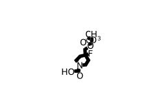 CS(=O)(=O)OCC1(F)CCN(C(=O)O)CC1